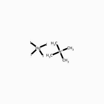 C[N+](C)(C)C.[I][Hg]([I])([I])[I]